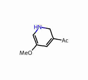 COC1=CNCC(C(C)=O)=C1